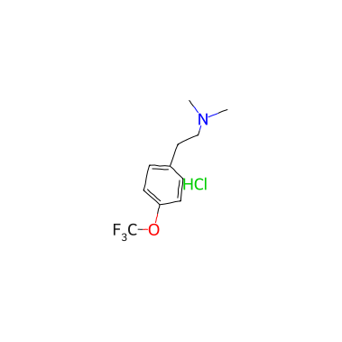 CN(C)CCc1ccc(OC(F)(F)F)cc1.Cl